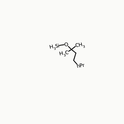 CCCCCC(C)(C)O[SiH3]